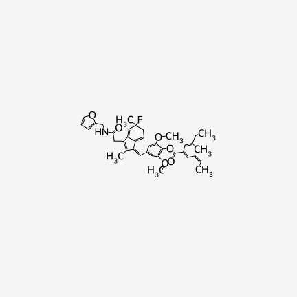 C\C=C/C=C(\C=C(/C)CC)C(=O)Oc1c(OC)cc(/C=C2\C3=CCC(C)(F)C=C3C(CC(=O)NCc3ccco3)=C2C)cc1OC